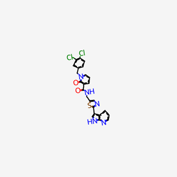 O=C(NCc1cnc(-c2c[nH]c3ncccc23)s1)c1cccn(Cc2ccc(Cl)c(Cl)c2)c1=O